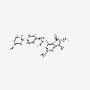 Cc1cc(CC(=O)Nc2ccc(-c3cncc(F)c3)nc2)c2c(c1)C(=O)N(C)C2=O